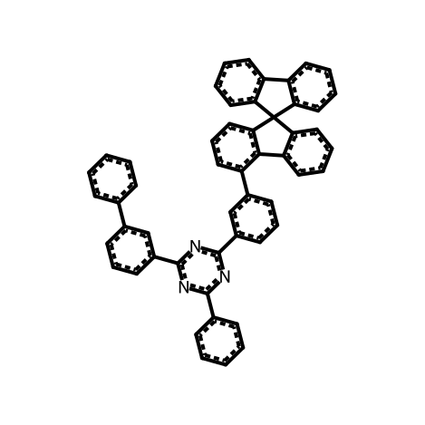 c1ccc(-c2cccc(-c3nc(-c4ccccc4)nc(-c4cccc(-c5cccc6c5-c5ccccc5C65c6ccccc6-c6ccccc65)c4)n3)c2)cc1